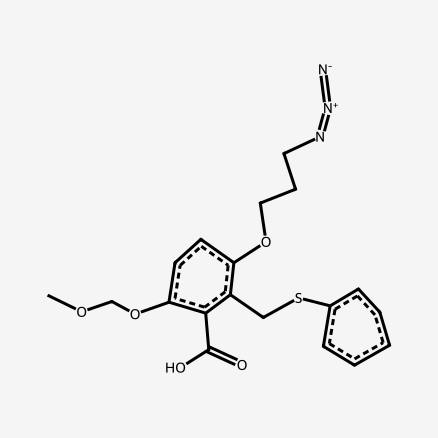 COCOc1ccc(OCCCN=[N+]=[N-])c(CSc2ccccc2)c1C(=O)O